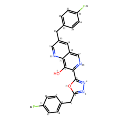 Oc1c(-c2nnc(Cc3ccc(F)cc3)o2)ncc2cc(Cc3ccc(F)cc3)cnc12